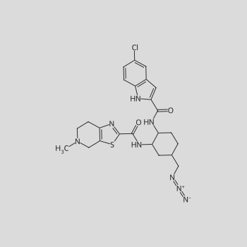 CN1CCc2nc(C(=O)NC3CC(CN=[N+]=[N-])CCC3NC(=O)c3cc4cc(Cl)ccc4[nH]3)sc2C1